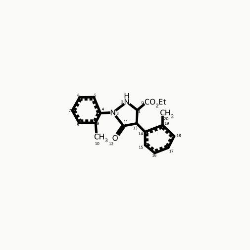 CCOC(=O)C1NN(c2ccccc2C)C(=O)C1c1ccccc1C